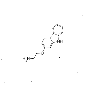 NCCOc1ccc2c(c1)[nH]c1ccccc12